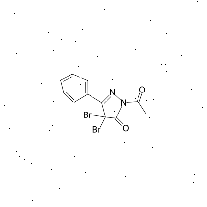 CC(=O)N1N=C(c2ccccc2)C(Br)(Br)C1=O